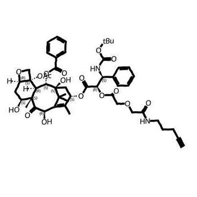 C#CCCCNC(=O)COCC(=O)O[C@@H](C(=O)O[C@H]1C[C@@]2(O)[C@@H](OC(=O)c3ccccc3)[C@@H]3[C@]4(OC(C)=O)CO[C@@H]4C[C@H](O)[C@@]3(C)C(=O)[C@H](O)C(=C1C)C2(C)C)[C@@H](NC(=O)OC(C)(C)C)c1ccccc1